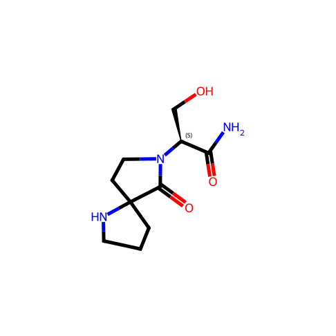 NC(=O)[C@H](CO)N1CCC2(CCCN2)C1=O